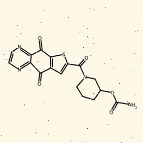 NC(=O)OC1CCCN(C(=O)c2cc3c(s2)C(=O)c2nccnc2C3=O)C1